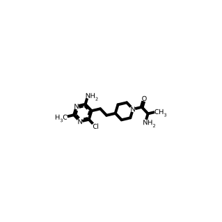 Cc1nc(N)c(CCC2CCN(C(=O)C(C)N)CC2)c(Cl)n1